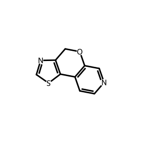 c1cc2c(cn1)OCc1ncsc1-2